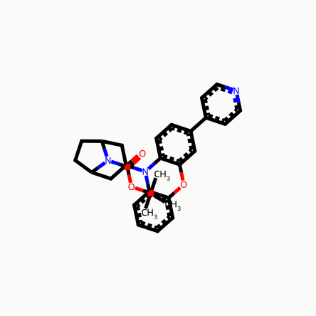 CC(C)(C)OC(=O)N1C2CCC1CC(N1c3ccccc3Oc3cc(-c4ccncc4)ccc31)C2